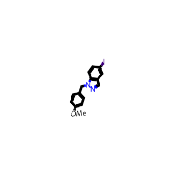 COc1ccc(Cn2ncc3cc(I)ccc32)cc1